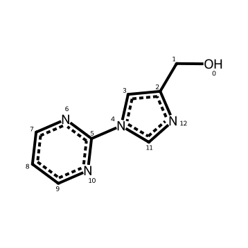 OCc1cn(-c2ncccn2)cn1